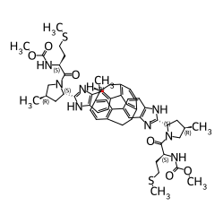 COC(=O)N[C@@H](CCSC)C(=O)N1C[C@H](C)C[C@H]1c1nc2cc(-c3cc4ccc3CCc3ccc(c(-c5ccc6[nH]c([C@@H]7C[C@@H](C)CN7C(=O)[C@H](CCSC)NC(=O)OC)nc6c5)c3)C[C@H]4C)ccc2[nH]1